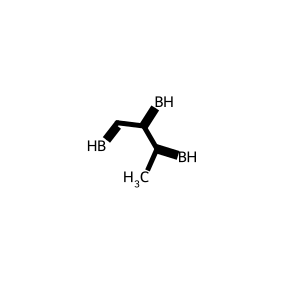 B=CC(=B)C(=B)C